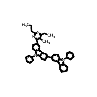 CCCc1nc(CC)c(C)c(-c2ccc3c(c2)c2cc(-c4ccc5c(c4)c4ccccc4n5-c4ccccc4)ccc2n3-c2ccccc2)n1